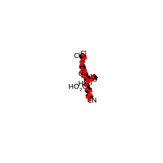 N#Cc1ccc(-c2ccc(CC(NC(=O)[C@@H]3Cc4cc5c(cc4CN3Cc3ncco3)O[C@@H](c3ccc(OCc4ccc(Cl)c(Cl)c4)cc3)CO5)C(=O)O)cc2)cc1